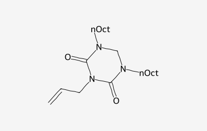 C=CCN1C(=O)N(CCCCCCCC)CN(CCCCCCCC)C1=O